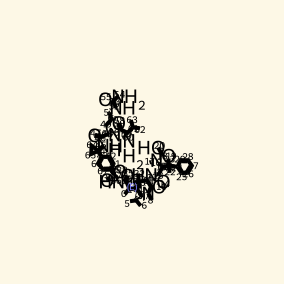 C/C(=C\[C@H](C(C)C)N(C)C(=O)[C@@H](NC(=O)[C@@H](N(C)C(=O)O)C(C)(C)c1ccccc1)C(C)(C)C)C(=O)NS(=O)(=O)c1ccc(C2(NC(=O)[C@@H](CCCNC(N)=O)NC(=O)[C@H](N)C(C)C)CC2)cc1